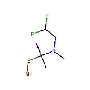 CN(CC(F)F)C(C)(C)SS